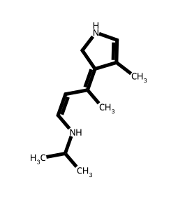 CC1=CNC/C1=C(C)\C=C/NC(C)C